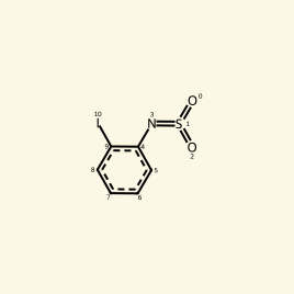 O=S(=O)=Nc1ccccc1I